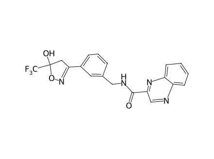 O=C(NCc1cccc(C2=NOC(O)(C(F)(F)F)C2)c1)c1cnc2ccccc2n1